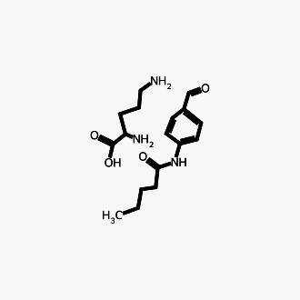 CCCCC(=O)Nc1ccc(C=O)cc1.NCCCC(N)C(=O)O